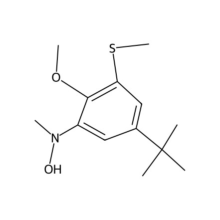 COc1c(SC)cc(C(C)(C)C)cc1N(C)O